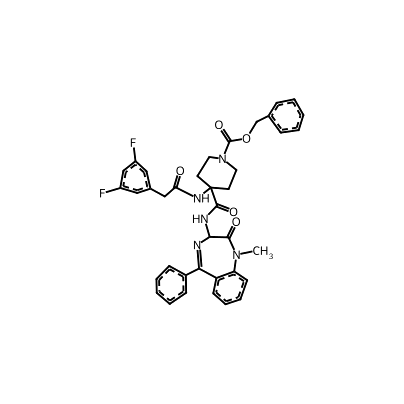 CN1C(=O)C(NC(=O)C2(NC(=O)Cc3cc(F)cc(F)c3)CCN(C(=O)OCc3ccccc3)CC2)N=C(c2ccccc2)c2ccccc21